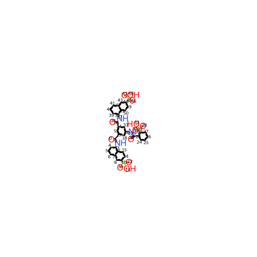 O=C(Nc1cccc2cc(S(=O)(=O)O)ccc12)c1cc(NC(=O)c2ccccc2S(=O)(=O)O)cc(C(=O)Nc2cccc3cc(S(=O)(=O)O)ccc23)c1